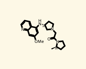 COc1cc(N[C@@H]2CCN(CC(=O)N3CCC[C@H]3C)C2)c2cccnc2c1